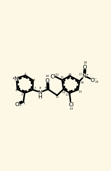 O=Cc1cnccc1NC(=O)Cc1c(Cl)cc([N+](=O)[O-])cc1Cl